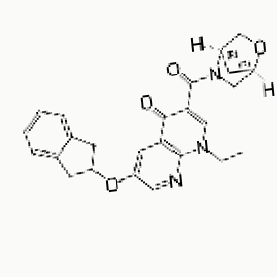 CCn1cc(C(=O)N2C[C@H]3C[C@@H]2CO3)c(=O)c2cc(OC3Cc4ccccc4C3)cnc21